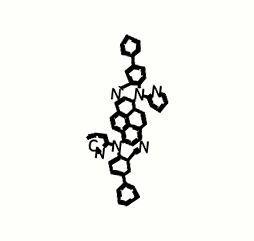 N#Cc1cc(-c2ccccc2)ccc1N(c1ccccn1)C1C=Cc2ccc3c(N(C4=CC=C(c5ccccc5)CC4C#N)c4ccccn4)ccc4c3c2C1C=C4